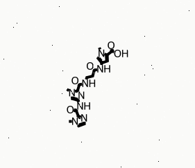 Cn1cc(NC(=O)CCNC(=O)c2nc(NC(=O)c3nccn3C)cn2C)cc1C(=O)O